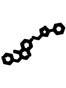 O=c1c(Cc2ccncc2)coc2cc(OCc3cnn(-c4ccccc4)c3)ccc12